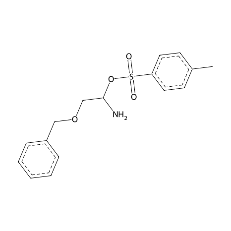 Cc1ccc(S(=O)(=O)OC(N)COCc2ccccc2)cc1